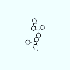 C=C/C=C\c1c(C)c2cc3ccc(N(c4ccccc4)c4cccc5c4sc4ccccc45)cc3cc2n1-c1ccccc1